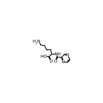 NCCCCC(NC(=O)c1cnccn1)C(=O)O